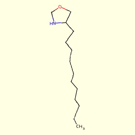 CCCCCCCCCCCC1COCN1